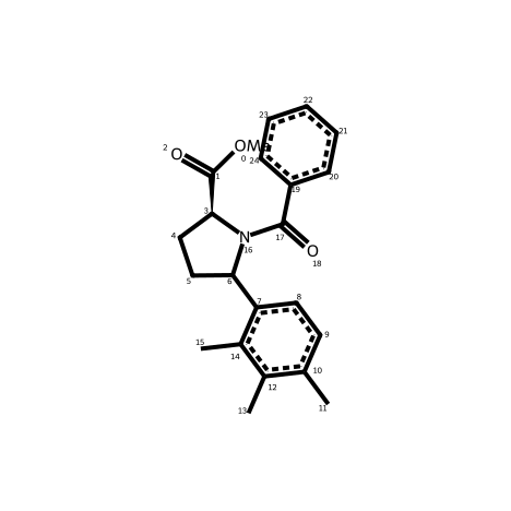 COC(=O)[C@@H]1CCC(c2ccc(C)c(C)c2C)N1C(=O)c1ccccc1